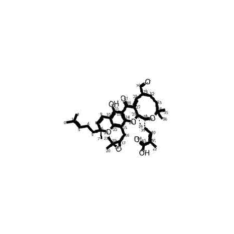 CC(C)=CCC[C@]1(C)C=Cc2c(O)c3c(c(CC4OC4(C)C)c2O1)O[C@@]1(C)/C(=C\C(C=O)CCC(C)(C)O[C@@H]1C/C=C(/C)C(=O)O)C3=O